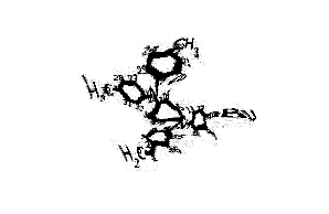 C=Cc1ccc(N(c2ccc(CCCC)cc2)c2ccc(N(c3ccc(C)cc3)c3ccc(C)cc3)cc2)cc1